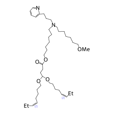 CC/C=C\CCCCOC(CCC(=O)OCCCCCCCN(CCCCCCCOC)CCCc1ccccn1)OCCCC/C=C\CC